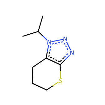 CC(C)n1nnc2c1CCCS2